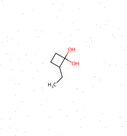 CC[C]1CCC1(O)O